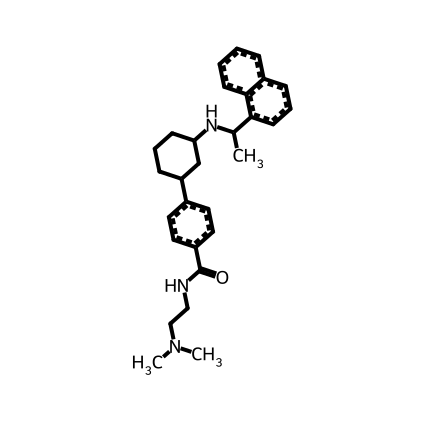 CC(NC1CCCC(c2ccc(C(=O)NCCN(C)C)cc2)C1)c1cccc2ccccc12